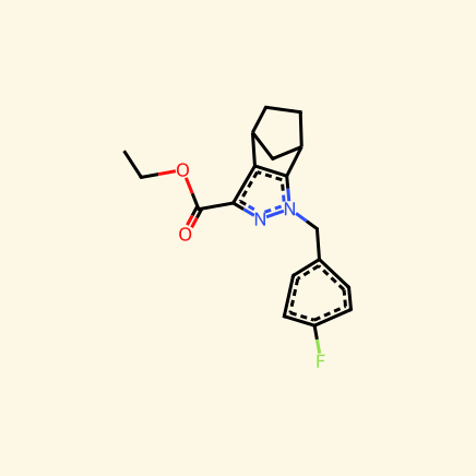 CCOC(=O)c1nn(Cc2ccc(F)cc2)c2c1C1CCC2C1